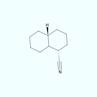 N#C[C@H]1CCC[C@H]2CCCCC21